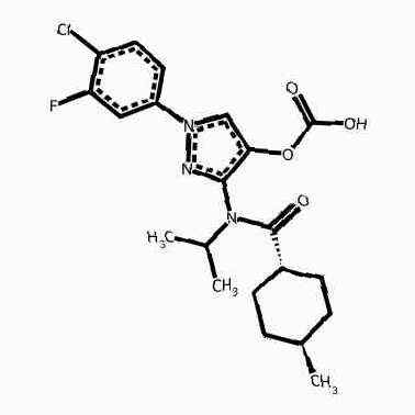 CC(C)N(c1nn(-c2ccc(Cl)c(F)c2)cc1OC(=O)O)C(=O)[C@H]1CC[C@H](C)CC1